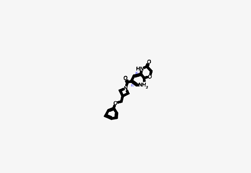 CC1OCC(=O)N/C1=C/C(=C\N)C(=O)N1CC(COc2ccccc2)C1